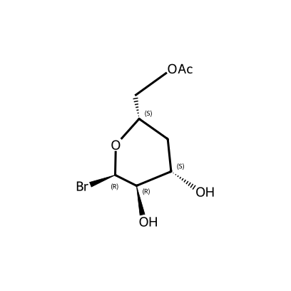 CC(=O)OC[C@@H]1C[C@H](O)[C@@H](O)[C@@H](Br)O1